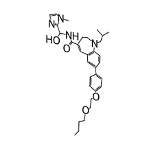 CCCCOCCOc1ccc(-c2ccc3c(c2)C=C(C(=O)NC(O)c2nccn2C)CCN3CC(C)C)cc1